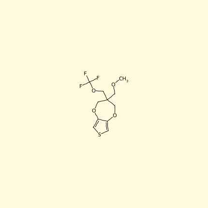 COCC1(COC(F)(F)F)COc2cscc2OC1